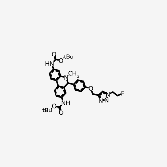 CN1c2cc(NC(=O)OC(C)(C)C)ccc2-c2ccc(NC(=O)OC(C)(C)C)cc2C1c1ccc(OCc2cn(CCF)nn2)cc1